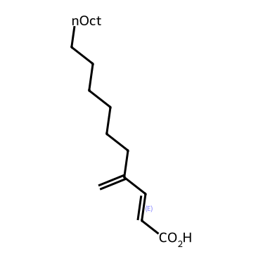 C=C(/C=C/C(=O)O)CCCCCCCCCCCCCC